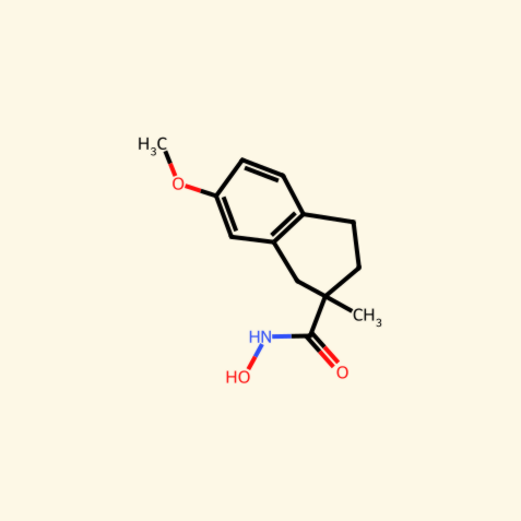 COc1ccc2c(c1)CC(C)(C(=O)NO)CC2